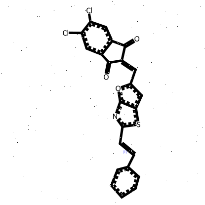 O=C1C(=Cc2cc3sc(/C=C/c4ccccc4)nc3o2)C(=O)c2cc(Cl)c(Cl)cc21